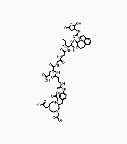 CC[C@H](C)[C@H](NC(=O)CNC(=O)CNC(=O)[C@H](CCC(=O)O)NC(=O)CCNC(=S)Nc1ccc(CC2CN(CC(=O)O)CCN(CC(=O)O)CCN2CC(=O)O)cc1)C(=O)N[C@H]1CCc2cccc3c2N(C1=O)[C@H](C(=O)NC1CC(=O)OC1O)C3